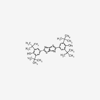 CC(C)(C)c1cc(-c2nc3sc(-c4cc(C(C)(C)C)c(O)c(C(C)(C)C)c4)nc3s2)cc(C(C)(C)C)c1O